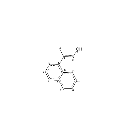 CC(=NO)c1cccc2ncccc12